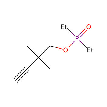 C#CC(C)(C)COP(=O)(CC)CC